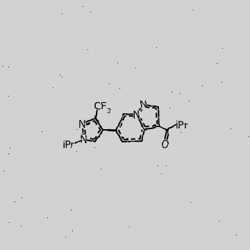 CC(C)C(=O)c1cnn2cc(-c3cn(C(C)C)nc3C(F)(F)F)ccc12